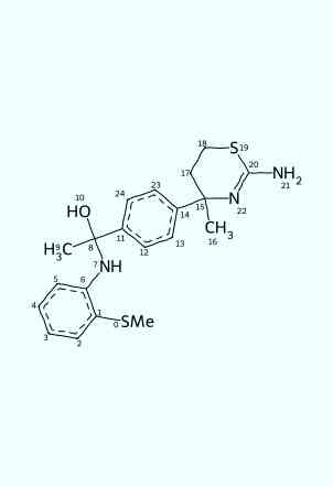 CSc1ccccc1NC(C)(O)c1ccc(C2(C)CCSC(N)=N2)cc1